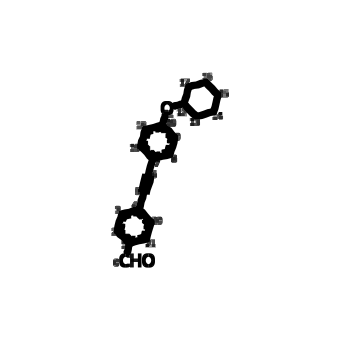 O=Cc1ccc(C#Cc2ccc(OC3CCCCC3)cc2)cc1